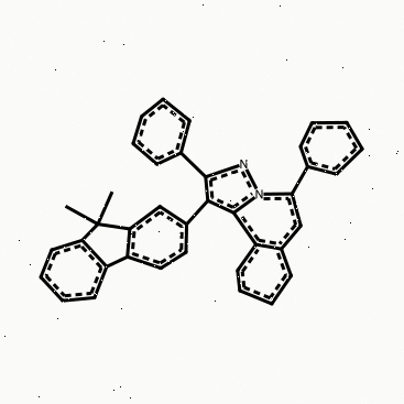 CC1(C)c2ccccc2-c2ccc(-c3c(-c4ccccc4)nn4c(-c5ccccc5)cc5ccccc5c34)cc21